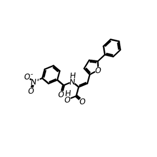 O=C(O)/C(=C/c1ccc(-c2ccccc2)o1)NC(=O)c1cccc([N+](=O)[O-])c1